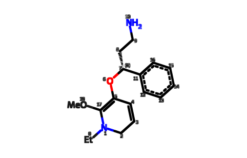 CCN1CC=CC(O[C@H](CCN)c2ccccc2)=C1OC